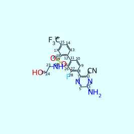 N#Cc1nc(N)cnc1-c1ccc(-c2ccc(C(F)(F)F)cc2S(=O)(=O)NCCO)cc1F